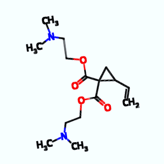 C=CC1CC1(C(=O)OCCN(C)C)C(=O)OCCN(C)C